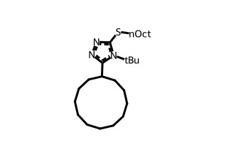 CCCCCCCCSc1nnc(C2CCCCCCCCCCC2)n1C(C)(C)C